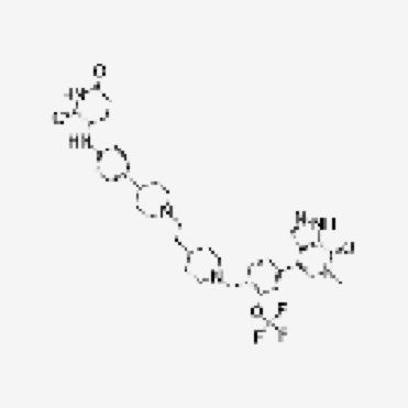 Cn1cc(-c2ccc(CN3CCC(CCN4CCC(c5ccc(NC6CCC(=O)NC6=O)cc5)CC4)CC3)c(OC(F)(F)F)c2)c2cn[nH]c2c1=O